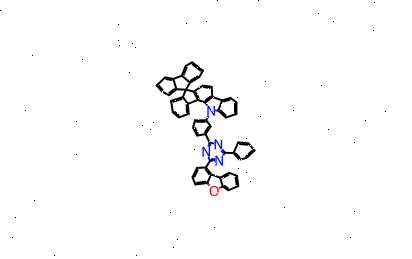 c1ccc(-c2nc(-c3cccc(-n4c5ccccc5c5ccc6c(c54)-c4ccccc4C64c5ccccc5-c5ccccc54)c3)nc(-c3cccc4oc5ccccc5c34)n2)cc1